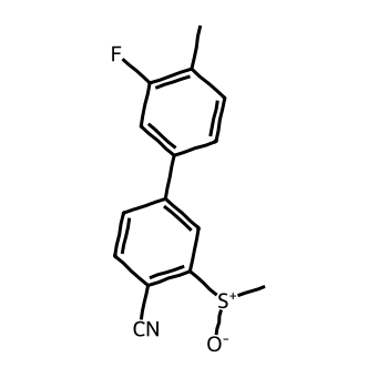 Cc1ccc(-c2ccc(C#N)c([S+](C)[O-])c2)cc1F